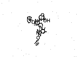 Cc1cc2c(nnn2COCC[Si](C)(C)C)c(N2CCc3c(nc(OCC45CCCN4CCC5)nc3N3CCOC[C@@](C)(O)C3)C2)c1C